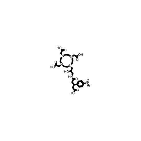 O=C(O)CC(CC(=O)NCC(O)CN1CCN(CC(=O)O)CCN(CC(=O)O)CCN(CC(=O)O)CC1)c1ccc([N+](=O)[O-])cc1